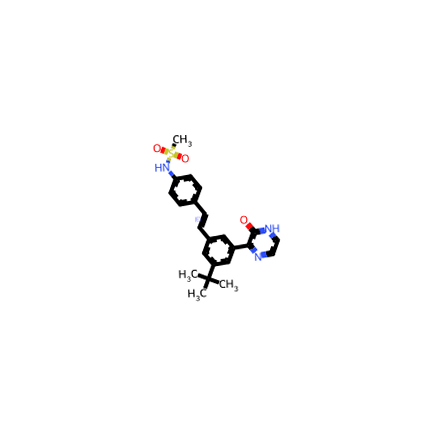 CC(C)(C)c1cc(/C=C/c2ccc(NS(C)(=O)=O)cc2)cc(-c2ncc[nH]c2=O)c1